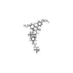 COc1ccc(N(C(=O)C2CCC(c3ccc(OCCCC(F)(F)F)cc3)(C(F)(F)F)NC2)C2=CC=C(C)CC2=O)cc1